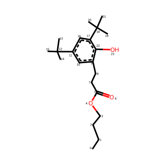 CCCCOC(=O)CCc1cc(C(C)(C)C)cc(C(C)(C)C)c1O